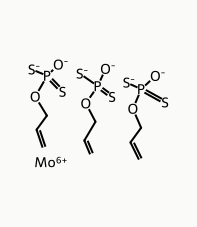 C=CCOP([O-])(=S)[S-].C=CCOP([O-])(=S)[S-].C=CCOP([O-])(=S)[S-].[Mo+6]